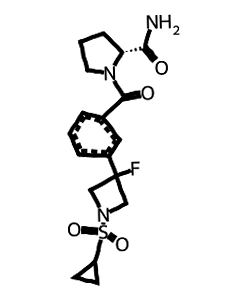 NC(=O)[C@H]1CCCN1C(=O)c1cccc(C2(F)CN(S(=O)(=O)C3CC3)C2)c1